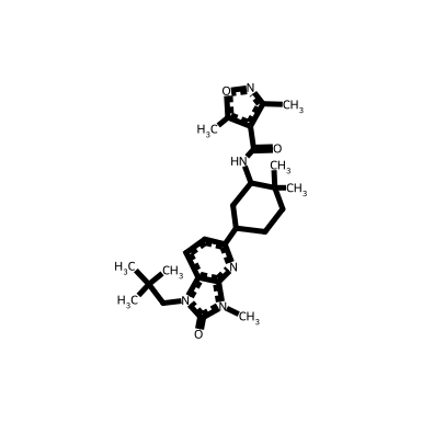 Cc1noc(C)c1C(=O)NC1CC(c2ccc3c(n2)n(C)c(=O)n3CC(C)(C)C)CCC1(C)C